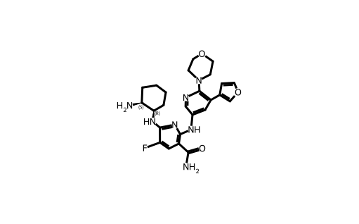 NC(=O)c1cc(F)c(N[C@@H]2CCCC[C@@H]2N)nc1Nc1cnc(N2CCOCC2)c(-c2ccoc2)c1